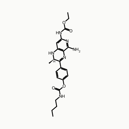 CCCCNC(=O)Oc1ccc(C2=Nc3c(cc(NC(=O)OCC)nc3N)N[C@@H]2C)cc1